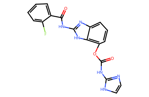 O=C(Nc1ncc[nH]1)Oc1cccc2nc(NC(=O)c3ccccc3F)[nH]c12